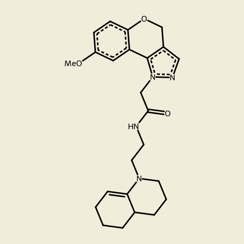 COc1ccc2c(c1)-c1c(cnn1CC(=O)NCCN1CCCC3CCCC=C31)CO2